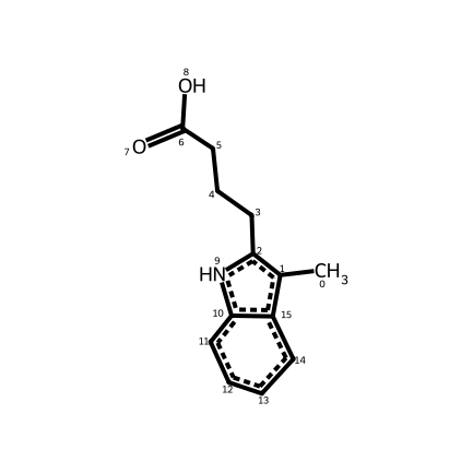 Cc1c(CCCC(=O)O)[nH]c2ccccc12